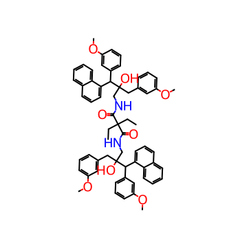 CCC(CC)(C(=O)NCC(O)(Cc1cccc(OC)c1)C(c1cccc(OC)c1)c1cccc2ccccc12)C(=O)NCC(O)(Cc1cccc(OC)c1)C(c1cccc(OC)c1)c1cccc2ccccc12